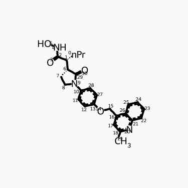 CCC[C@@H](C(=O)NO)[C@H]1CCN(c2ccc(OCc3cc(C)nc4ccccc34)cc2)C1=O